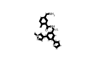 Cc1ccc(CN)cc1C(=O)N[C@H](C)c1cc(-c2cnn(C)c2)cc(-c2cccs2)c1